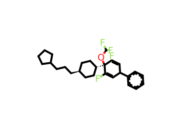 FC1=CC(c2ccccc2)C=C(F)C1(OC(F)F)[C@H]1CC[C@H](CCCC2CCCC2)CC1